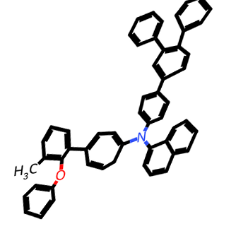 Cc1cccc(C2=CC=C(N(c3ccc(-c4ccc(-c5ccccc5)c(-c5ccccc5)c4)cc3)c3cccc4ccccc34)CC=C2)c1Oc1ccccc1